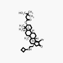 CC(C)C1=C2[C@H]3CC[C@@H]4[C@@]5(C)CC[C@H](OC(=O)CC(C)(C)C(=O)O)C(C)(C)[C@@H]5CC[C@@]4(C)[C@]3(C)CC[C@@]2(CCNC2CCC2)CC1=O